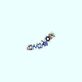 Cc1c(N2CCN(CCN3CCOCC3)CC2)cnn1-c1ccc(OC(F)(F)F)cc1